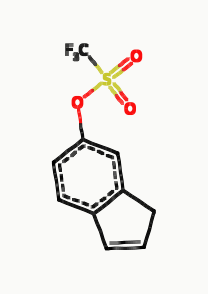 O=S(=O)(Oc1ccc2c(c1)CC=C2)C(F)(F)F